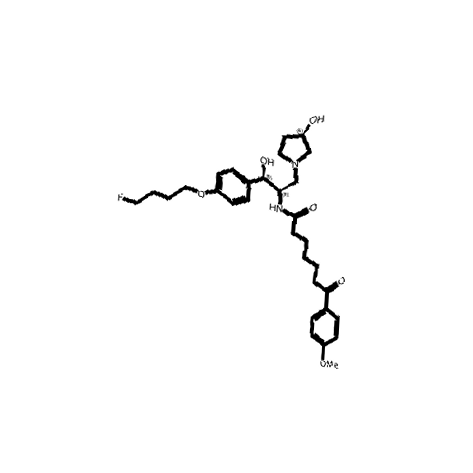 COc1ccc(C(=O)CCCCCC(=O)N[C@H](CN2CC[C@@H](O)C2)[C@H](O)c2ccc(OCCCCF)cc2)cc1